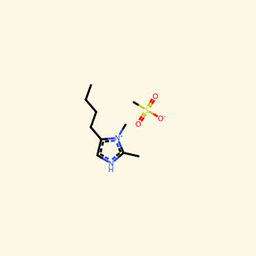 CCCCc1c[nH]c(C)[n+]1C.CS(=O)(=O)[O-]